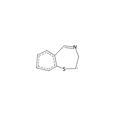 [C]1CN=Cc2ccccc2S1